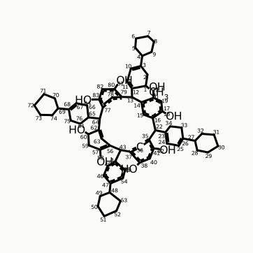 CC1CC(C2CCCCC2)=CC=C1C1c2cc(c(O)cc2O)C(C2=CC=C(C3CCCCC3)CC2)c2cc(c(O)cc2O)C(c2ccc(C3CCCCC3)cc2)C2=C(O)CC(O)C(=C2)C(C2CC=C(C3CCCCC3)CC2)c2cc1c(O)cc2O